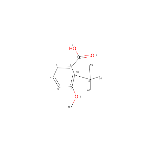 COc1cccc(C(=O)O)c1C(C)(C)C